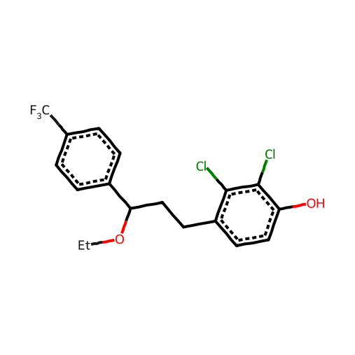 CCOC(CCc1ccc(O)c(Cl)c1Cl)c1ccc(C(F)(F)F)cc1